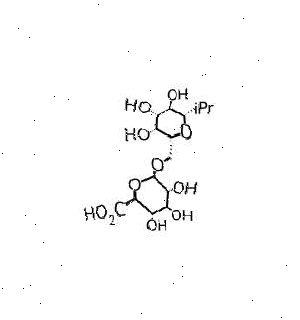 CC(C)[C@@H]1O[C@H](CO[C@@H]2O[C@H](C(=O)O)[C@@H](O)[C@H](O)[C@H]2O)[C@H](O)[C@H](O)[C@H]1O